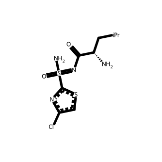 CC(C)C[C@H](N)C(=O)N=S(N)(=O)c1nc(Cl)cs1